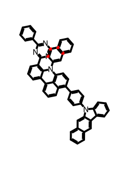 c1ccc(-c2nc(-c3ccccc3)nc(-c3cccc4c3N(c3ccccc3)c3ccc(-c5ccc(-n6c7ccccc7c7cc8ccccc8cc76)cc5)c5cccc-4c35)n2)cc1